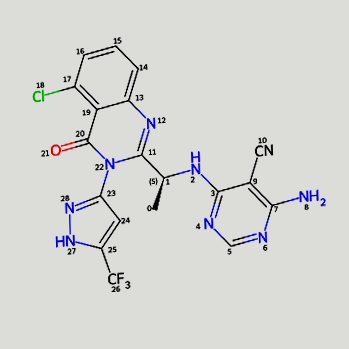 C[C@H](Nc1ncnc(N)c1C#N)c1nc2cccc(Cl)c2c(=O)n1-c1cc(C(F)(F)F)[nH]n1